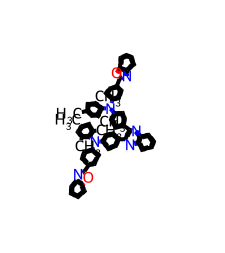 Cc1cc(C)c(N(c2ccc(-c3nc4ccccc4o3)cc2)c2ccc(-c3nc4ccccc4nc3-c3ccc(N(c4ccc(-c5nc6ccccc6o5)cc4)c4c(C)cc(C)cc4C)cc3)cc2)c(C)c1